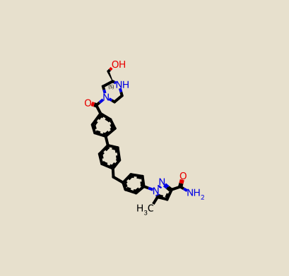 Cc1cc(C(N)=O)nn1-c1ccc(Cc2ccc(-c3ccc(C(=O)N4CCN[C@H](CO)C4)cc3)cc2)cc1